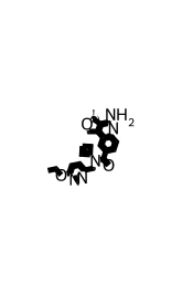 CCOc1ccc(CN(C(=O)c2ccc3nc(N)c4c(c3c2)CO[C@@H]4C)C23CC(C2)C3)nn1